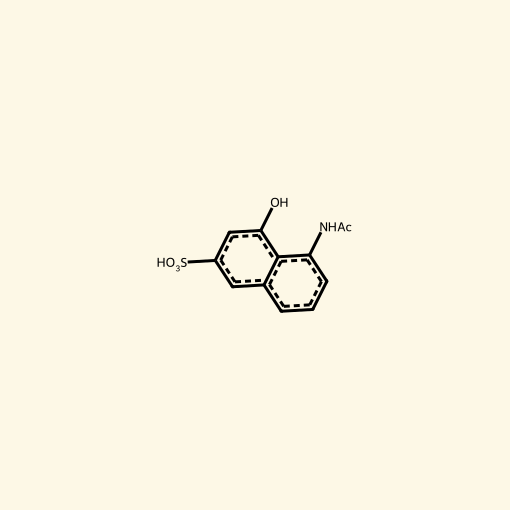 CC(=O)Nc1cccc2cc(S(=O)(=O)O)cc(O)c12